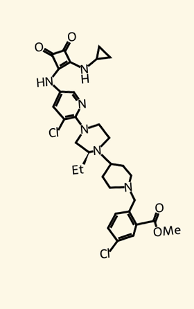 CC[C@H]1CN(c2ncc(Nc3c(NC4CC4)c(=O)c3=O)cc2Cl)CCN1C1CCN(Cc2ccc(Cl)cc2C(=O)OC)CC1